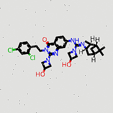 C[C@@H]1[C@@H](/N=C(/Nc2ccc3c(=O)n(CCc4ccc(Cl)cc4Cl)c(N4CC(O)C4)nc3c2)N2CC(O)C2)C[C@@H]2C[C@H]1C2(C)C